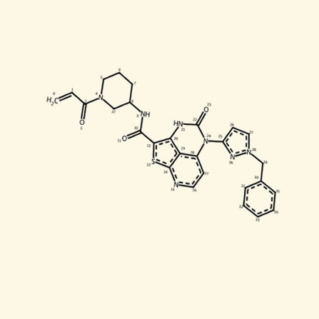 C=CC(=O)N1CCCC(NC(=O)c2sc3nccc4c3c2NC(=O)N4c2ccn(Cc3ccccc3)n2)C1